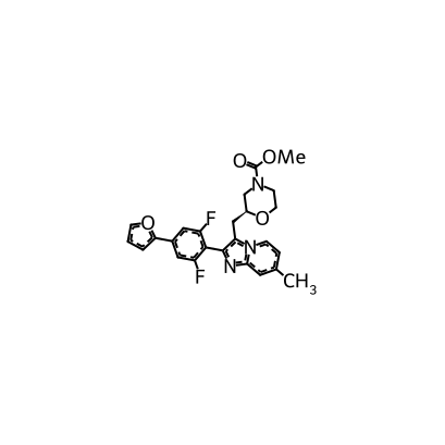 COC(=O)N1CCO[C@@H](Cc2c(-c3c(F)cc(-c4ccco4)cc3F)nc3cc(C)ccn23)C1